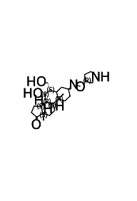 C[C@]12CCC(=NO[C@@H]3CCNC3)CC1[C@@H](CO)[C@@H](O)[C@@H]1[C@@H]2CC[C@]2(C)C(=O)CC[C@@H]12